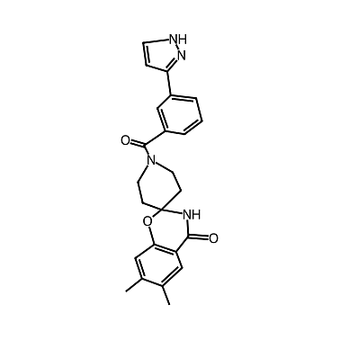 Cc1cc2c(cc1C)C(=O)NC1(CCN(C(=O)c3cccc(-c4cc[nH]n4)c3)CC1)O2